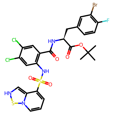 CC(C)(C)OC(=O)[C@H](Cc1ccc(F)c(Br)c1)NC(=O)c1cc(Cl)c(Cl)cc1NS(=O)(=O)C1=CC=CN2SNC=C12